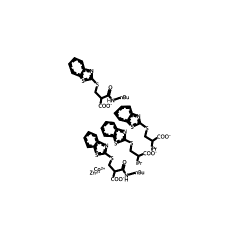 CC(C)C(CSc1nc2ccccc2s1)C(=O)[O-].CC(C)C(CSc1nc2ccccc2s1)C(=O)[O-].CCCCNC(=O)C(CSc1nc2ccccc2s1)C(=O)[O-].CCCCNC(=O)C(CSc1nc2ccccc2s1)C(=O)[O-].[Co+2].[Zn+2]